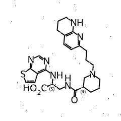 O=C(NC[C@H](Nc1ncnc2sccc12)C(=O)O)[C@@H]1CCCN(CCCc2ccc3c(n2)NCCC3)C1